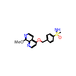 COc1nccc2c(OCc3ccc(S(C)(=N)=O)cc3)ccnc12